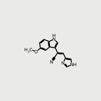 COc1ccc2[nH]cc(/C(C#N)=C/c3c[nH]cn3)c2c1